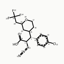 [N-]=[N+]=N[C@@H](C(=O)O)[C@@H](c1ccc(Cl)cc1)C1CCOC(CC(F)(F)F)C1